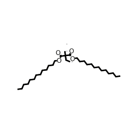 [C]C(C[CH2])(C(=O)OCCCCCCCCCCCCC)C(=O)OCCCCCCCCCCCCC